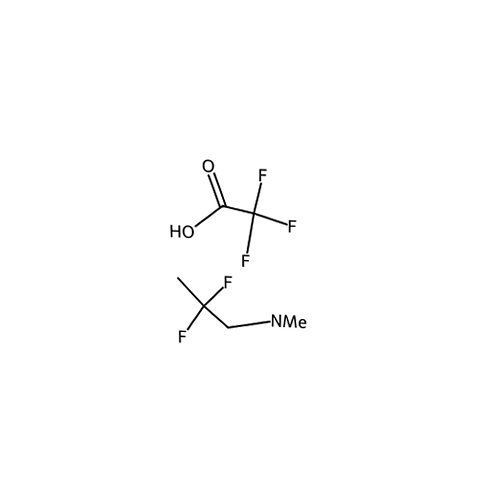 CNCC(C)(F)F.O=C(O)C(F)(F)F